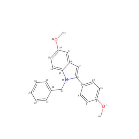 COc1ccc(-c2[c]c3cc(OC)ccc3n2Cc2ccccc2)cc1